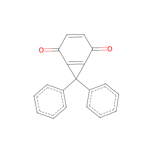 O=C1C=CC(=O)C2=C1C2(c1ccccc1)c1ccccc1